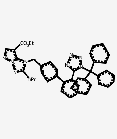 CCCc1nn2ncc(C(=O)OCC)c2n1Cc1ccc(-c2ccccc2-c2nnnn2C(c2ccccc2)(c2ccccc2)c2ccccc2)cc1